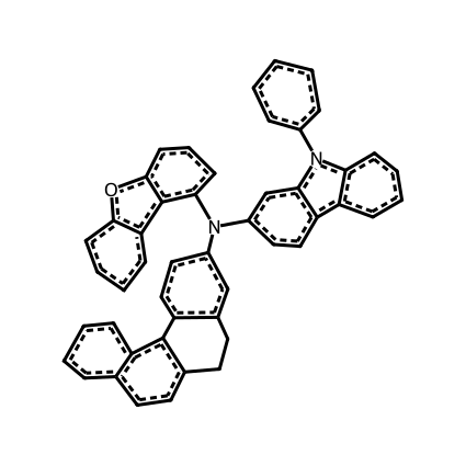 c1ccc(-n2c3ccccc3c3ccc(N(c4ccc5c(c4)CCc4ccc6ccccc6c4-5)c4cccc5oc6ccccc6c45)cc32)cc1